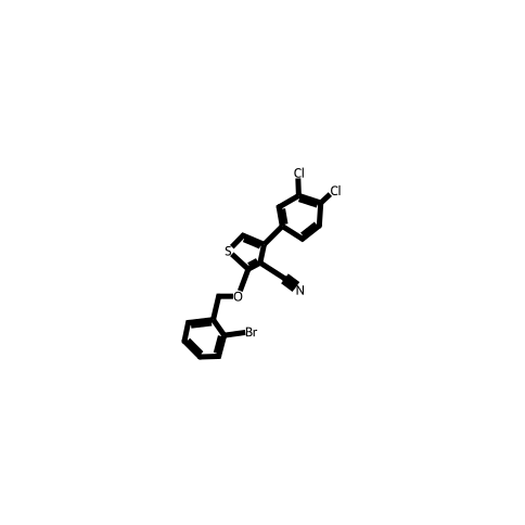 N#Cc1c(-c2ccc(Cl)c(Cl)c2)csc1OCc1ccccc1Br